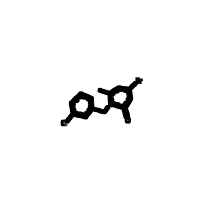 Cc1cc(Br)cc(=O)n1Cc1cccc(Cl)c1